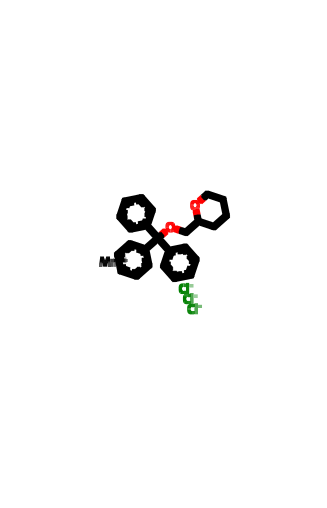 [Cl-].[Cl-].[Cl-].[Mn+3].c1ccc(C(OCC2CCCCO2)(c2ccccc2)c2ccccc2)cc1